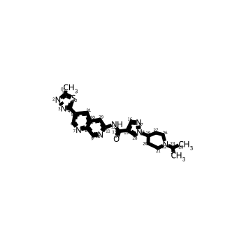 Cc1nnc(-c2cnc3cnc(NC(=O)c4cnn(C5CCN(C(C)C)CC5)c4)cc3c2)s1